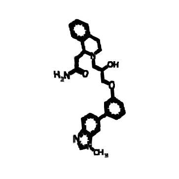 Cn1cnc2ccc(-c3cccc(OCC(O)CN4CCc5ccccc5C4CC(N)=O)c3)cc21